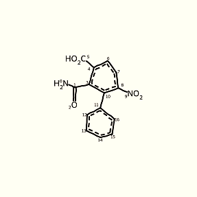 NC(=O)c1c(C(=O)O)ccc([N+](=O)[O-])c1-c1ccccc1